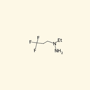 CCN(N)CCC(F)(F)F